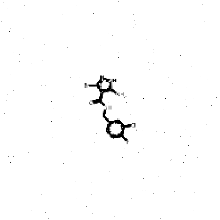 Nc1[nH]nc(Br)c1C(=O)NCc1ccc(F)c(Cl)c1